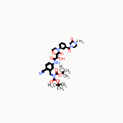 CN1CCN(C(=O)c2cccc(N3CCO[C@H]([C@@H](O)C(=O)Nc4ccc(C#N)c(CN(C(=O)OC(C)(C)C)C(=O)OC(C)(C)C)c4)C3=O)c2)CC1=O